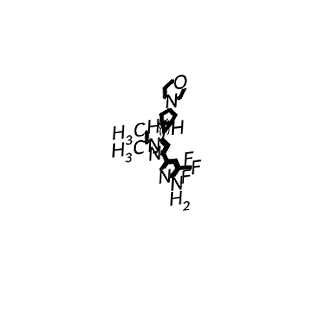 CCC(C)n1nc(-c2cnc(N)c(C(F)(F)F)c2)cc1[C@H]1[C@@H]2CC(N3CCCOCC3)C[C@@H]21